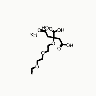 CCOCCOCCOC(CC(=O)O)(CC(=O)O)C(=O)O.[KH]